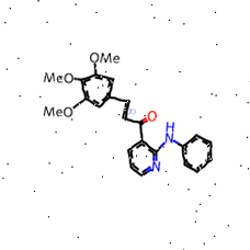 COc1cc(/C=C/C(=O)c2cccnc2Nc2ccccc2)cc(OC)c1OC